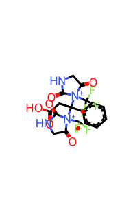 O=C(O)CC(c1ccccc1)([N+]1(C(F)(F)F)C(=O)CNC1=O)[N+]1(C(F)(F)F)C(=O)CNC1=O